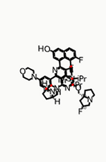 CC(C)[Si](C#Cc1c(F)ccc2cc(O)cc(-c3nc(-c4cncc(N5CCOCC5)c4)c4c(N5C[C@H]6CC[C@@H](C5)N6)nc(OC[C@]56CCCN5C[C@@H](F)C6)nc4c3F)c12)(C(C)C)C(C)C